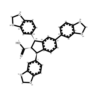 O=C(O)[C@H]1[C@H](c2ccc3c(c2)OCO3)c2ccc(-c3ccc4c(c3)OCO4)cc2[C@H]1c1ccc2c(c1)OCO2